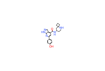 O=C(NC1CCNC2(CCC2)C1)c1cc(-c2ccc(O)cc2)nc2[nH]ncc12